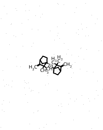 C=C1C2CC[C]([Zn][C]34CCC(C3)C(=C)C4(C)C)(C2)C1(C)C